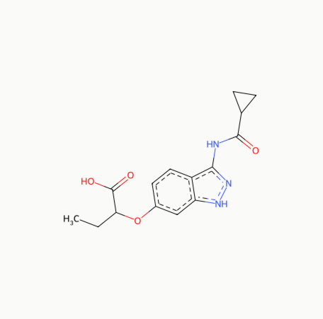 CCC(Oc1ccc2c(NC(=O)C3CC3)n[nH]c2c1)C(=O)O